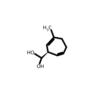 CC1=C[C@H](C(O)O)C=CCC1